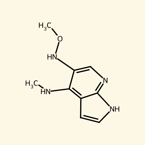 CNc1c(NOC)cnc2[nH]ccc12